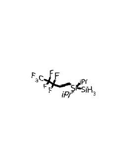 CC(C)[Si]([SiH3])(CCC(F)(F)C(F)(F)C(F)(F)F)C(C)C